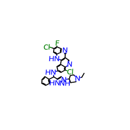 CCN1CCC(N2C=C(C(Nc3cc(Cl)c4ncc(C#N)c(Nc5ccc(F)c(Cl)c5)c4c3)c3ccccc3)NN2)CC1